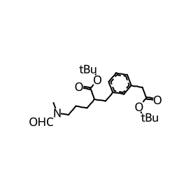 CN(C=O)CCCC(Cc1cccc(CC(=O)OC(C)(C)C)c1)C(=O)OC(C)(C)C